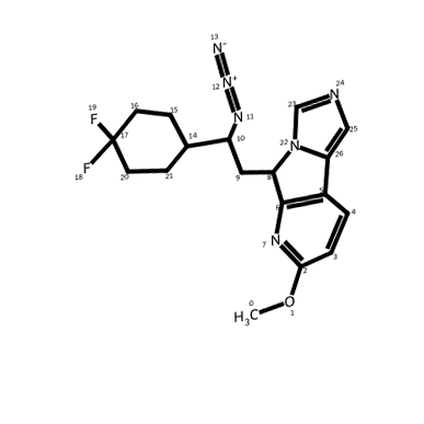 COc1ccc2c(n1)C(CC(N=[N+]=[N-])C1CCC(F)(F)CC1)n1cncc1-2